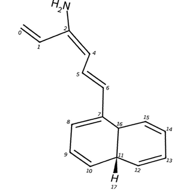 C=C/C(N)=C\C=C\C1=CC=C[C@H]2C=CC=CC12